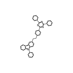 c1ccc(-c2nc(-c3ccccc3)nc(-c3ccc(CCc4ccc5c(c4)c4ccccc4n5-c4ccccc4)cc3)n2)cc1